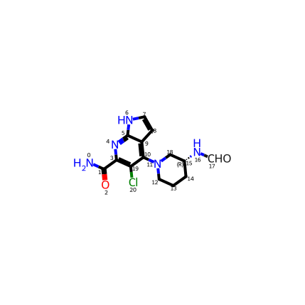 NC(=O)c1nc2[nH]c[c]c2c(N2CCC[C@@H](NC=O)C2)c1Cl